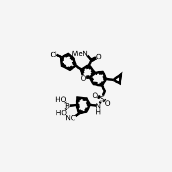 CNC(=O)c1c(-c2ccc(Cl)cc2)oc2cc(CS(=O)(=O)Nc3ccc(B(O)O)c(C#N)c3)c(C3CC3)cc12